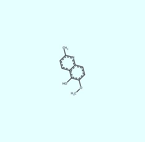 COc1ccc2nc(C)ccc2c1O